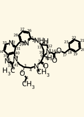 CCO[C@H]1CN(C)C(=O)[C@@H]2C[C@@H](CN2C(=O)OCc2ccccc2)Nc2cccc(n2)-c2nccc3nc(C)n(c23)C1